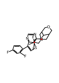 CC(F)(F)CN1CC2COCC(C1)C2Oc1ncnc2c(-c3ccc(F)cc3F)csc12